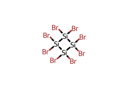 Br[Si]1(Br)[Si](Br)(Br)[Si](Br)(Br)[Si]1(Br)Br